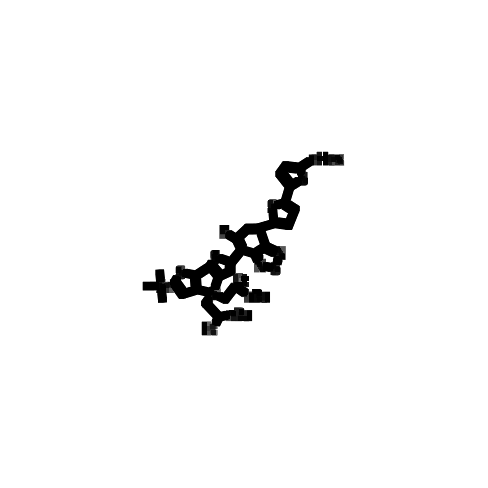 CCCCCCc1ccc(-c2ccc(-c3cc(F)c(-c4cc5c(s4)-c4s[c]([Sn]([CH3])([CH3])[CH3])cc4[Si]5(CC(CC)CCCC)CC(CC)CCCC)c4nsnc34)s2)s1